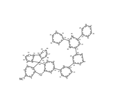 N#Cc1ccc2c(c1)Oc1cc(-c3cccc(-c4cccc(-c5cc(-c6ccccc6)nc(-c6ccccc6)n5)c4)c3)ccc1C21c2ccccc2-c2ccccc21